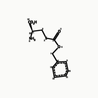 N[C@H](CSC(=O)OCc1ccccc1)C(=O)O